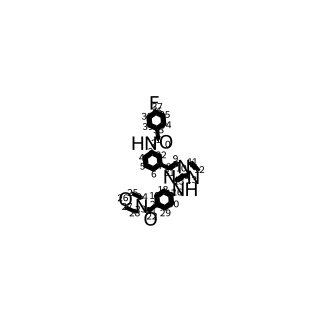 O=C(Nc1cccc(-c2cn3ccnc3c(Nc3ccc(C(=O)N4CCOCC4)cc3)n2)c1)c1ccc(F)cc1